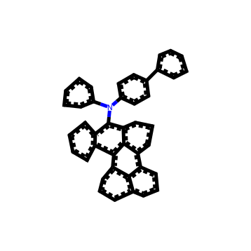 c1ccc(-c2ccc(N(c3ccccc3)c3c4ccccc4c4c5cccc6cccc(c7cccc3c74)c65)cc2)cc1